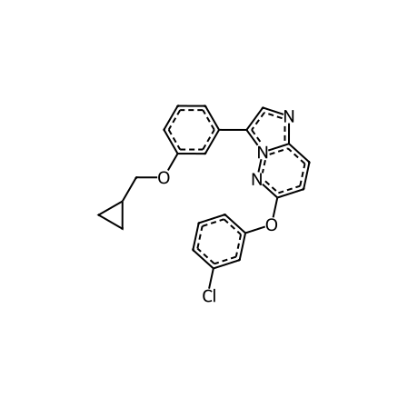 Clc1cccc(Oc2ccc3ncc(-c4cccc(OCC5CC5)c4)n3n2)c1